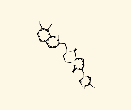 Cc1cn(-c2ccc3n(c2=O)CCN(Cc2ccc4ccc(Cl)c(C)c4n2)C3=O)cn1